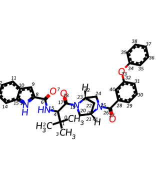 CC(C)(C)C(NC(=O)c1cc2ccccc2[nH]1)C(=O)N1C[C@@H]2C[C@H]1CN2C(=O)c1cccc(Oc2ccccc2)c1